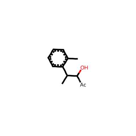 CC(=O)C(O)C(C)c1ccccc1C